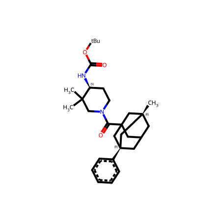 CC(C)(C)OC(=O)N[C@H]1CCN(C(=O)C23CC4C[C@@](C)(C2)C[C@](c2ccccc2)(C4)C3)CC1(C)C